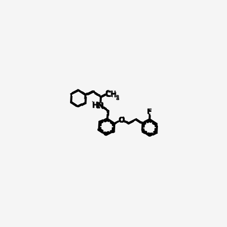 CC(CC1CCCCC1)NCc1ccccc1OCCc1ccccc1F